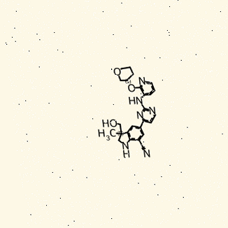 C[C@]1(CO)CNc2c(C#N)cc(-c3ccnc(Nc4cccnc4O[C@H]4CCCOC4)n3)cc21